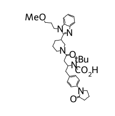 COCCCn1c(C2CCCN(C(=O)CC(Cc3ccc(N4CCCC4=O)cc3)N(C(=O)O)C(C)(C)C)C2)nc2ccccc21